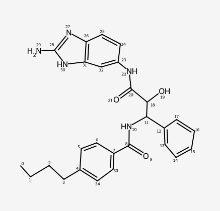 CCCCc1ccc(C(=O)NC(c2ccccc2)C(O)C(=O)Nc2ccc3nc(N)[nH]c3c2)cc1